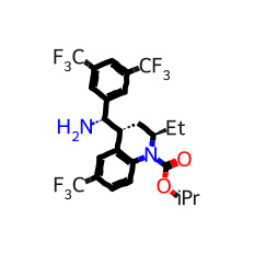 CC[C@@H]1C[C@@H]([C@H](N)c2cc(C(F)(F)F)cc(C(F)(F)F)c2)c2cc(C(F)(F)F)ccc2N1C(=O)OC(C)C